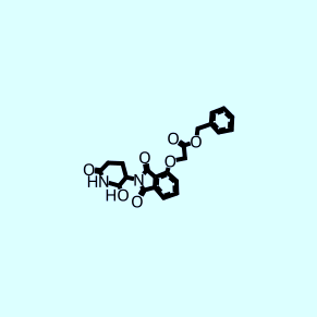 O=C1CCC(N2C(=O)c3cccc(OCC(=O)OCc4ccccc4)c3C2=O)C(O)N1